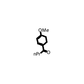 CCCC(=O)C1=CC=C(OC)CC1